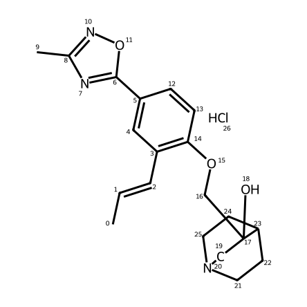 C/C=C/c1cc(-c2nc(C)no2)ccc1OCC1(O)CN2CCC1CC2.Cl